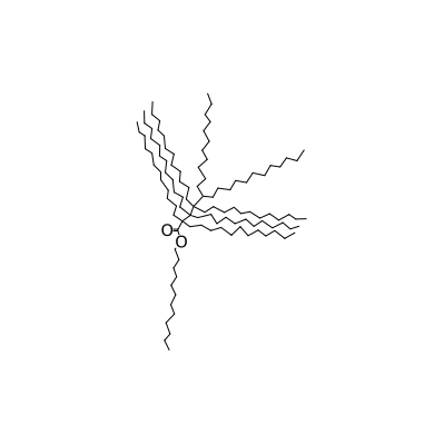 CCCCCCCCCCCCOC(=O)C(CCCCCCCCCCCC)(CCCCCCCCCCCC)C(CCCCCCCCCCCC)(CCCCCCCCCCCC)C(CCCCCCCCCCCC)(CCCCCCCCCCCC)C(CCCCCCCCCCC)CCCCCCCCCCCC